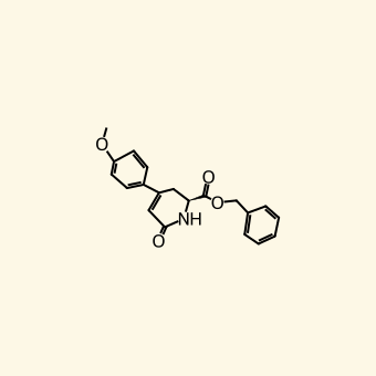 COc1ccc(C2=CC(=O)N[C@H](C(=O)OCc3ccccc3)C2)cc1